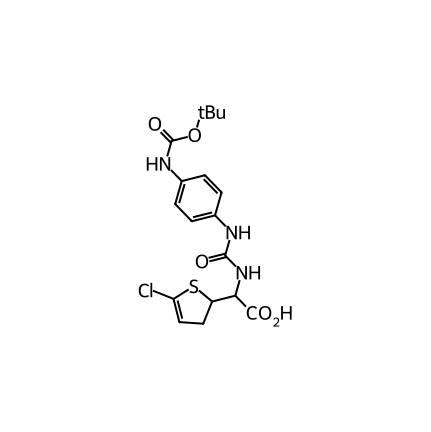 CC(C)(C)OC(=O)Nc1ccc(NC(=O)NC(C(=O)O)C2CC=C(Cl)S2)cc1